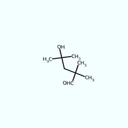 CC(C)(O)CC(C)(C)C=O